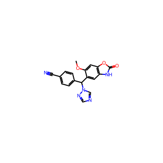 COc1cc2oc(=O)[nH]c2cc1C(c1ccc(C#N)cc1)n1cncn1